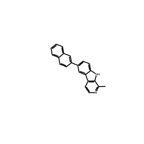 Cc1nccc2c1[nH]c1ccc(-c3ccc4ccccc4c3)cc12